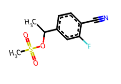 CC(OS(C)(=O)=O)c1ccc(C#N)c(F)c1